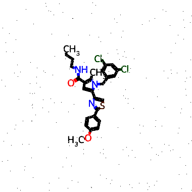 CCCCNC(=O)c1cc(-c2csc(-c3ccc(OC)cc3)n2)n(Cc2cc(Cl)cc(Cl)c2)c1C